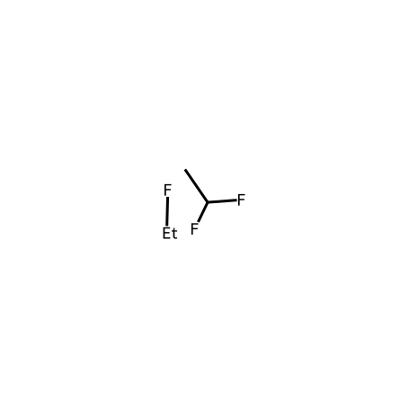 CC(F)F.CCF